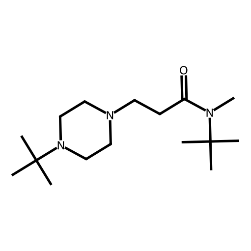 CN(C(=O)CCN1CCN(C(C)(C)C)CC1)C(C)(C)C